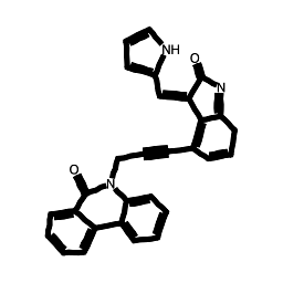 O=C1N=C2CC=CC(C#CCn3c(=O)c4ccccc4c4ccccc43)=C2C1=Cc1ccc[nH]1